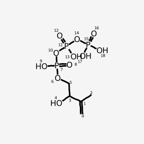 C=C(C)C(O)COP(=O)(O)OP(=O)(O)OP(=O)(O)O